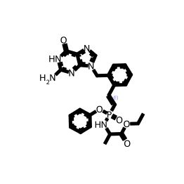 CCOC(=O)C(C)NP(=O)(/C=C/c1ccccc1Cn1cnc2c(=O)[nH]c(N)nc21)Oc1ccccc1